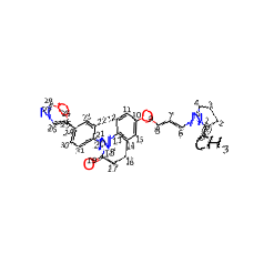 C[C@@H]1CCCN1CCCOc1ccc2c(c1)CCC(=O)N2c1ccc(-c2cnco2)cc1